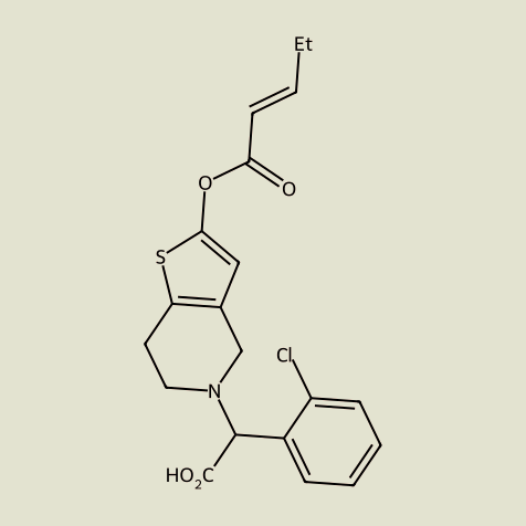 CC/C=C/C(=O)Oc1cc2c(s1)CCN(C(C(=O)O)c1ccccc1Cl)C2